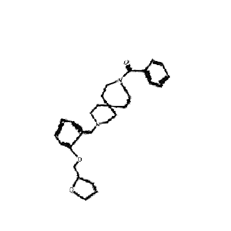 O=C(c1ccccc1)N1CCC2(CCN(Cc3ccccc3OCC3CCCO3)CC2)CC1